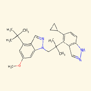 COc1cc(C(C)(C)C)c2cnn(CC(C)(C)c3c(C4CC4)ccc4[nH]ncc34)c2c1